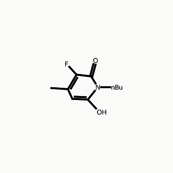 CCCCn1c(O)cc(C)c(F)c1=O